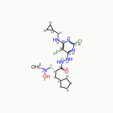 O=CN(O)C[C@@H](CC1CCCC1)C(=O)NNc1nc(Cl)nc(NCC2CC2)c1F